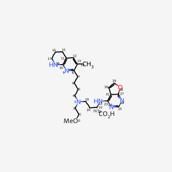 COCCN(CCCCc1nc2c(cc1C)CCCN2)CC[C@H](Nc1ncnc2occc12)C(=O)O